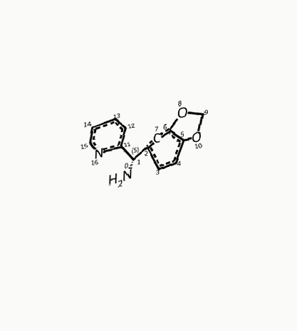 N[C@@H](c1ccc2c(c1)OCO2)c1ccccn1